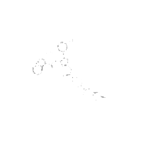 CN(CC1=CC(=O)OC1)C1CCN(C(=O)Cn2cc(NC(=O)c3cnn4cccnc34)c(-c3cc(Cl)ccc3OC(F)F)n2)CC1